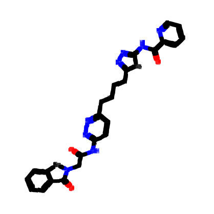 O=C(Cn1[se]c2ccccc2c1=O)Nc1ccc(CCCCc2nnc(NC(=O)c3ccccn3)[se]2)nn1